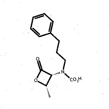 C[C@@H]1OC(=O)[C@@H]1N(CCCc1ccccc1)C(=O)O